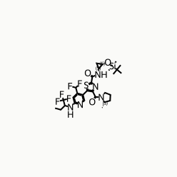 CCC(Nc1cc(C(F)F)c(-c2sc(C(=O)N[C@H]3C[C@@H]3O[Si](C)(C)C(C)(C)C)nc2C(=O)N2CCC[C@@H]2C)cn1)C(F)(F)F